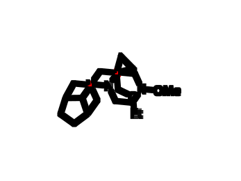 CCOCC1(CN2CC3CCC(C2)C3CN2CCN(OC)CC2)CC1